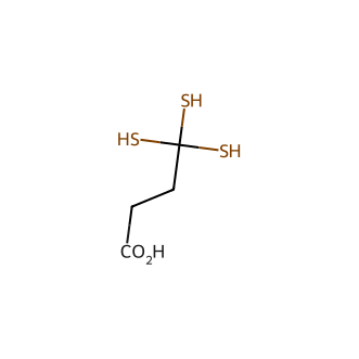 O=C(O)CCC(S)(S)S